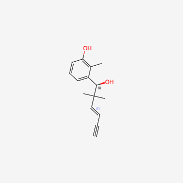 C#C/C=C/C(C)(C)[C@H](O)c1cccc(O)c1C